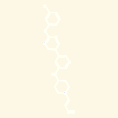 O=CC=CN1CCC(Nc2cncc(-c3cnc(Oc4cccc(Cl)c4)nc3)c2)CC1